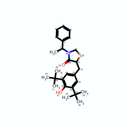 CC(c1ccccc1)N1CSC(Cc2cc(C(C)(C)C)c(O)c(C(C)(C)C)c2)C1=O